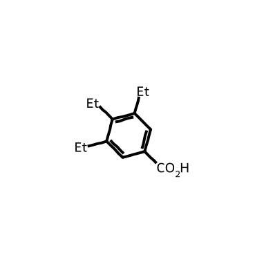 CCc1cc(C(=O)O)cc(CC)c1CC